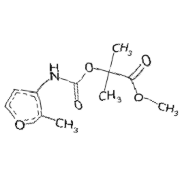 COC(=O)C(C)(C)OC(=O)Nc1ccoc1C